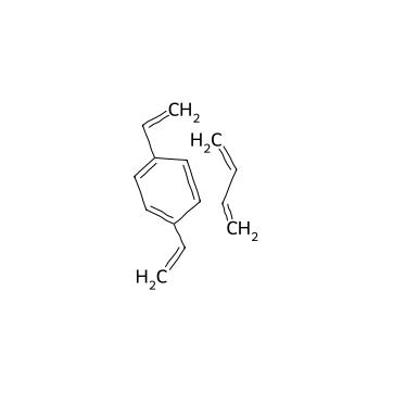 C=CC=C.C=Cc1ccc(C=C)cc1